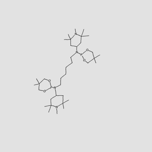 CN1C(C)(C)CC(N(CCCCCCN(C2CC(C)(C)N(C)C(C)(C)C2)P2OCC(C)(C)CO2)P2OCC(C)(C)CO2)CC1(C)C